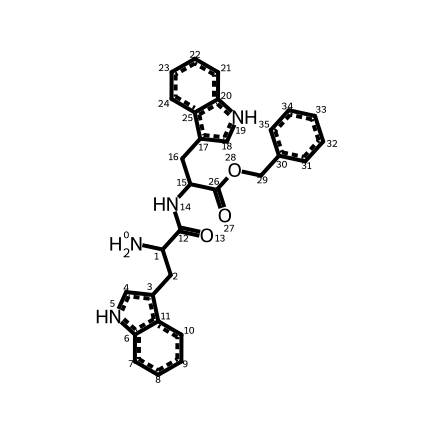 NC(Cc1c[nH]c2ccccc12)C(=O)NC(Cc1c[nH]c2ccccc12)C(=O)OCc1ccccc1